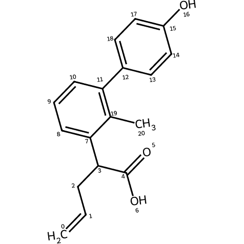 C=CCC(C(=O)O)c1cccc(-c2ccc(O)cc2)c1C